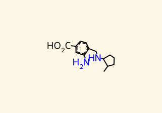 CC1CCCC1NCc1ccc(C(=O)O)cc1N